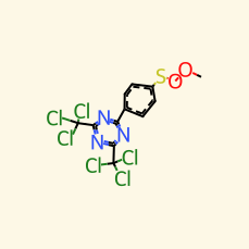 COOSc1ccc(-c2nc(C(Cl)(Cl)Cl)nc(C(Cl)(Cl)Cl)n2)cc1